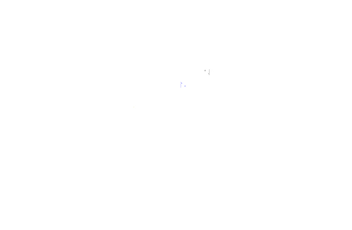 O=NN1CCSCC1